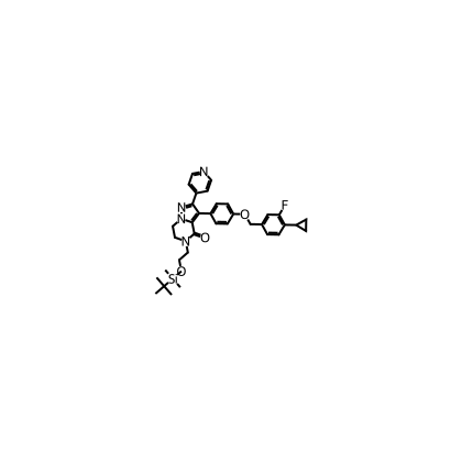 CC(C)(C)[Si](C)(C)OCCN1CCn2nc(-c3ccncc3)c(-c3ccc(OCc4ccc(C5CC5)c(F)c4)cc3)c2C1=O